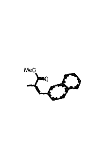 COC(=O)C(C)=Cc1ccc2ccccc2c1